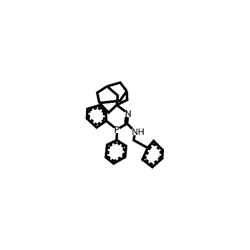 c1ccc(CN/C(=N/C23CC4CC(CC(C4)C2)C3)P(c2ccccc2)c2ccccc2)cc1